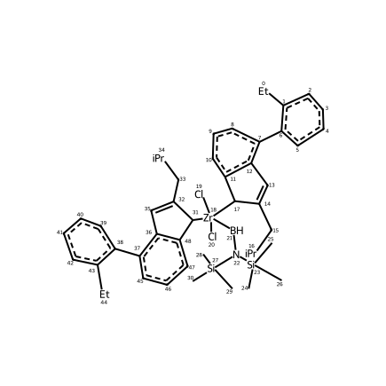 CCc1ccccc1-c1cccc2c1C=C(CC(C)C)[CH]2[Zr]([Cl])([Cl])([BH]N([Si](C)(C)C)[Si](C)(C)C)[CH]1C(CC(C)C)=Cc2c(-c3ccccc3CC)cccc21